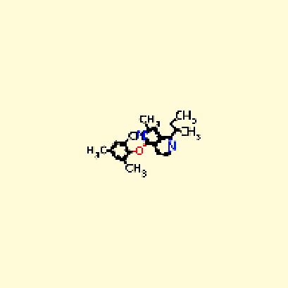 CCC(C)c1nccc2c(Oc3c(C)cc(C)cc3C)nc(C)cc12